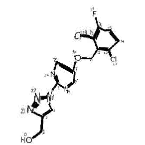 OCc1cn(-c2ncc(OCc3c(Cl)ccc(F)c3Cl)cn2)nn1